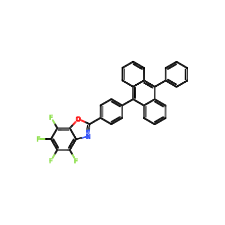 Fc1c(F)c(F)c2oc(-c3ccc(-c4c5ccccc5c(-c5ccccc5)c5ccccc45)cc3)nc2c1F